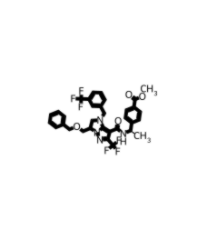 COC(=O)c1ccc([C@H](C)NC(=O)c2c(C(F)(F)F)nn3c2N(Cc2cccc(C(F)(F)F)c2)CC3COCc2ccccc2)cc1